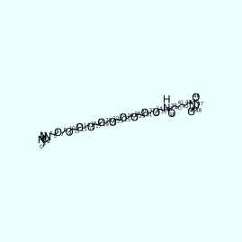 Cc1cn(CCOCCOCCOCCOCCOCCOCCOCCOCCOCCOCCNC(=O)CCCCCN2C(=O)C=CC2=O)nn1